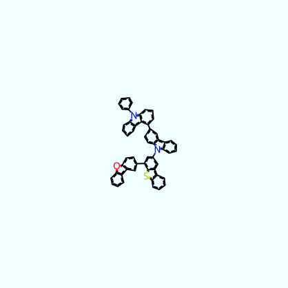 c1ccc(-n2c3ccccc3c3c(-c4ccc5c(c4)c4ccccc4n5-c4cc(-c5ccc6oc7ccccc7c6c5)c5sc6ccccc6c5c4)cccc32)cc1